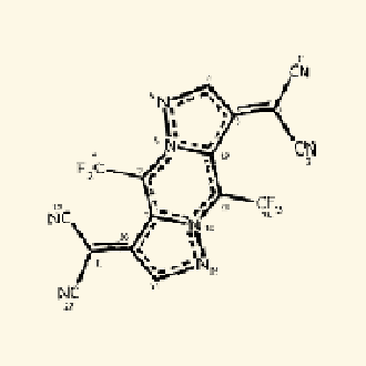 N#CC(C#N)=c1cnn2c(C(F)(F)F)c3c(=C(C#N)C#N)cnn3c(C(F)(F)F)c12